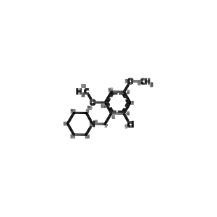 COc1cc(Cl)c(CN2CCCCC2)c(OC)c1